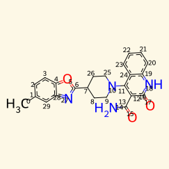 Cc1ccc2oc(C3CCN(c4c(C(N)=O)c(=O)[nH]c5ccccc45)CC3)nc2c1